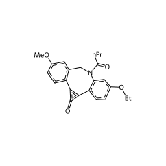 CCCC(=O)N1Cc2cc(OC)ccc2-c2c(c2=O)-c2ccc(OCC)cc21